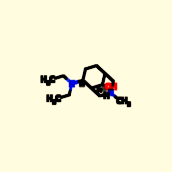 CCN(CC)[C@H]1CCC2CN(C)CC1[C@@H]2O